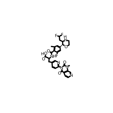 Cc1cc([C@@H]2OCCNC2CC(F)F)cc(F)c1C(=O)NC(Cc1ccc(-n2c(=O)c3ccncc3n(C)c2=O)nc1)C(=O)O